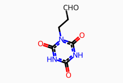 O=CCCn1c(=O)[nH]c(=O)[nH]c1=O